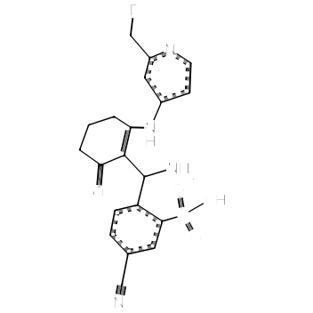 CS(=O)(=O)c1cc(C#N)ccc1C(N)C1=C(Nc2ccnc(CF)c2)CCCC1=O